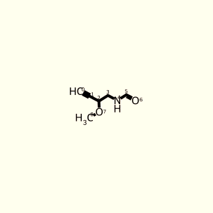 C#CC(CNC=O)OC